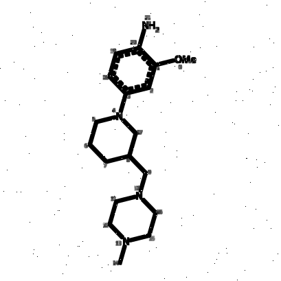 COc1cc(N2CCCC(CN3CCN(C)CC3)C2)ccc1N